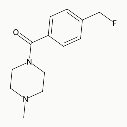 CN1CCN(C(=O)c2ccc(CF)cc2)CC1